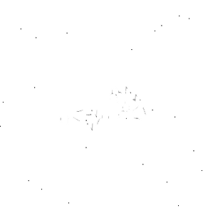 N#CC(Oc1ccccc1F)(C(=O)C(Cl)COc1cnc2cc(Cl)ccc2n1)C(=O)N1CCCCC1